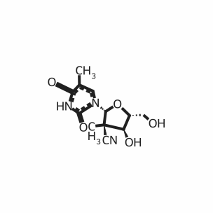 Cc1cn([C@@H]2O[C@H](CO)[C@@H](O)[C@@]2(C)C#N)c(=O)[nH]c1=O